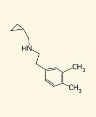 Cc1ccc(CCNCC2CC2)cc1C